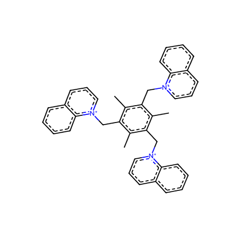 Cc1c(C[n+]2cccc3ccccc32)c(C)c(C[n+]2cccc3ccccc32)c(C)c1C[n+]1cccc2ccccc21